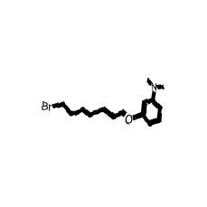 CN(C)c1cccc(OCCCCCCCBr)c1